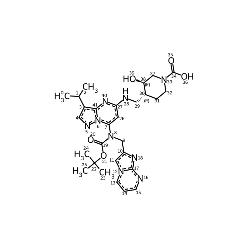 CC(C)c1cnn2c(N(Cc3cn4cccnc4n3)C(=O)OC(C)(C)C)cc(NC[C@H]3CCN(C(=O)O)C[C@@H]3O)nc12